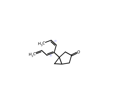 C=C/C=C(\C=C/C)C12CC(=O)CC1C2